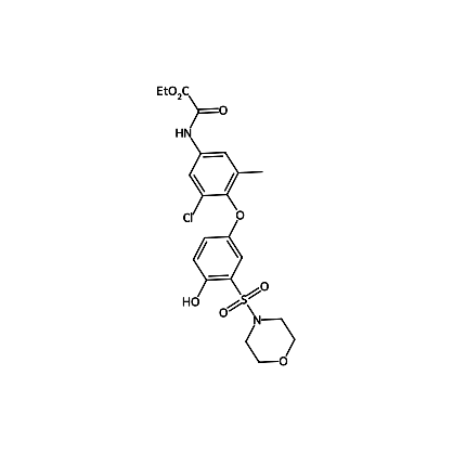 CCOC(=O)C(=O)Nc1cc(C)c(Oc2ccc(O)c(S(=O)(=O)N3CCOCC3)c2)c(Cl)c1